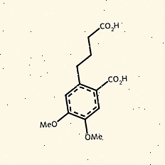 COc1cc(CCCC(=O)O)c(C(=O)O)cc1OC